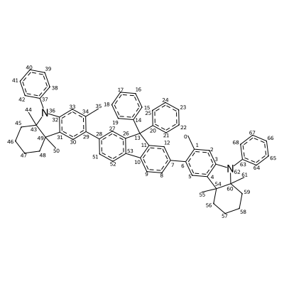 Cc1cc2c(cc1-c1ccc3c(c1)C(c1ccccc1)(c1ccccc1)c1cc(-c4cc5c(cc4C)N(c4ccccc4)C4(C)CCCCC54C)ccc1-3)C1(C)CCCCC1(C)N2c1ccccc1